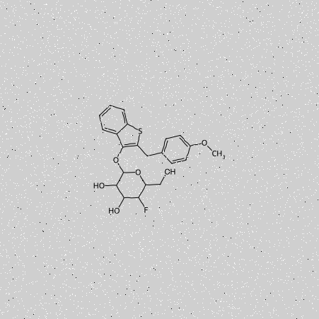 COc1ccc(Cc2sc3ccccc3c2OC2OC(CO)C(F)C(O)C2O)cc1